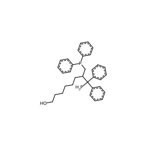 OCCCCCCC(CP(c1ccccc1)c1ccccc1)C(P)(c1ccccc1)c1ccccc1